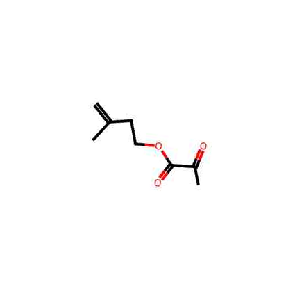 C=C(C)CCOC(=O)C(C)=O